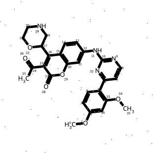 COc1ccc(-c2ccnc(Nc3ccc4c(C5CNCCO5)c(C(C)=O)c(=O)oc4c3)n2)c(OC)c1